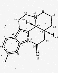 Cc1ccc2c3c4n(c2c1)C(=O)C[C@H]1CCCN(CC3)[C@@H]41